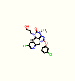 B=C1c2c(nc(Oc3cccc(Cl)c3)n2Cc2ccc(Cl)cn2)N(C)C(=O)N1CCCO